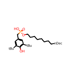 CCCCCCCCCCCCCCCCCCOP(=O)(O)Cc1cc(C(C)(C)C)c(O)c(C(C)(C)C)c1